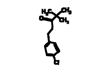 CC(C)(C)C(=O)CCc1ccc(Cl)cc1